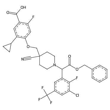 N#CC1(COc2cc(F)c(C(=O)O)cc2C2CC2)CCN(C(C(=O)OCc2ccccc2)c2cc(C(F)(F)F)cc(Cl)c2F)CC1